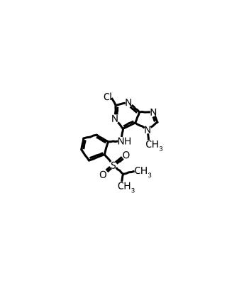 CC(C)S(=O)(=O)c1ccccc1Nc1nc(Cl)nc2ncn(C)c12